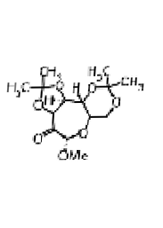 CO[C@H]1OC2COC(C)(C)O[C@H]2[C@@H]2OC(C)(C)OC2C1=O